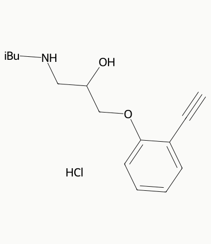 C#Cc1ccccc1OCC(O)CNC(C)CC.Cl